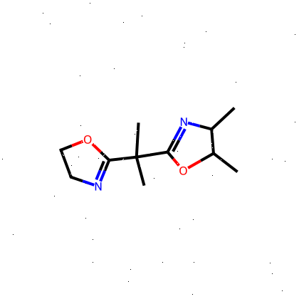 CC1N=C(C(C)(C)C2=NCCO2)OC1C